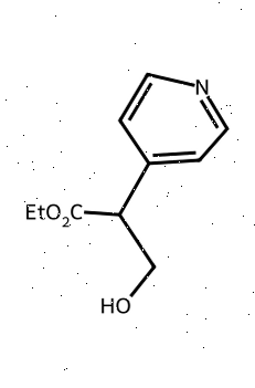 CCOC(=O)C(CO)c1ccncc1